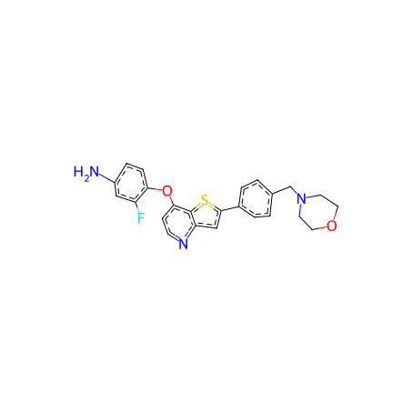 Nc1ccc(Oc2ccnc3cc(-c4ccc(CN5CCOCC5)cc4)sc23)c(F)c1